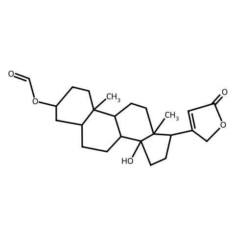 CC12CCC(OC=O)CC1CCC1C2CCC2(C)C(C3=CC(=O)OC3)CCC12O